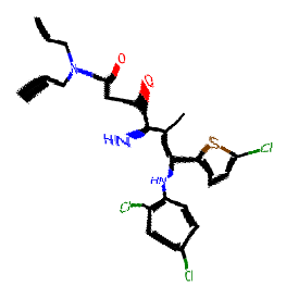 C=CCN(CC=C)C(=O)CC(=O)C(=N)/C(C)=C(\Nc1ccc(Cl)cc1Cl)c1ccc(Cl)s1